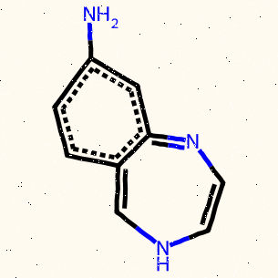 Nc1ccc2c(c1)=NC=CNC=2